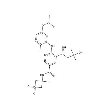 Cc1ncc(OC(F)F)cc1Nc1ncc(C(=O)NC2(C)CS(=O)(=O)C2)cc1C(=N)CC(C)(C)O